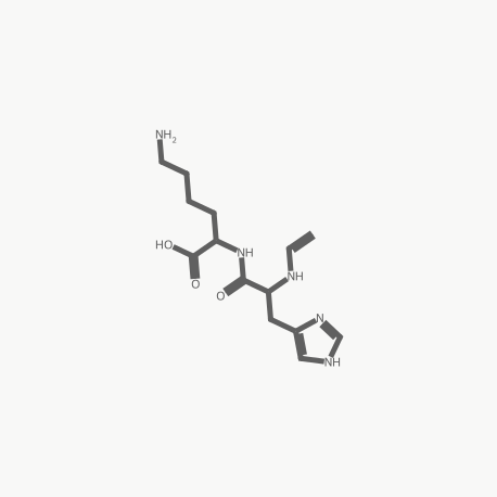 C=CNC(Cc1c[nH]cn1)C(=O)NC(CCCCN)C(=O)O